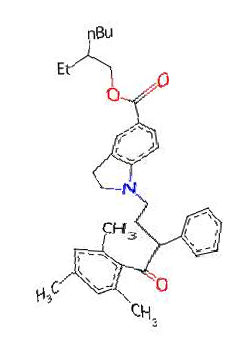 CCCCC(CC)COC(=O)c1ccc2c(c1)CCN2CCC(C(=O)c1c(C)cc(C)cc1C)c1ccccc1